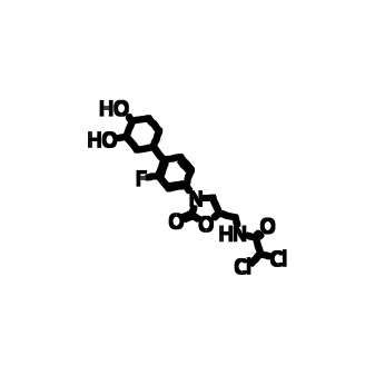 O=C(NCC1CN(c2ccc(C3CCC(O)C(O)C3)c(F)c2)C(=O)O1)C(Cl)Cl